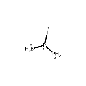 BP(P)I